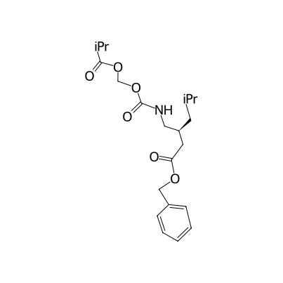 CC(C)C[C@H](CNC(=O)OCOC(=O)C(C)C)CC(=O)OCc1ccccc1